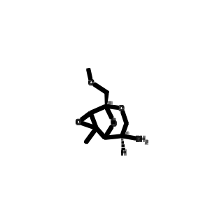 B[C@@H]1CO[C@]2(COC)COC1C1(C)OC12